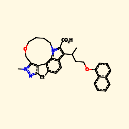 CCc1nn(C)c2c1-c1c(C)ccc3c(C(C)CCOc4cccc5ccccc45)c(C(=O)O)n(c13)CCCCOC2